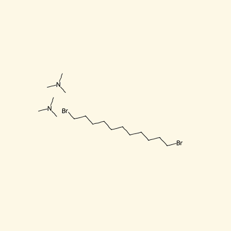 BrCCCCCCCCCCCBr.CN(C)C.CN(C)C